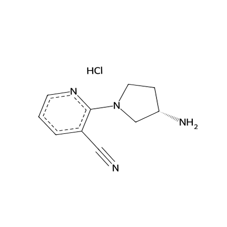 Cl.N#Cc1cccnc1N1CC[C@H](N)C1